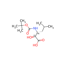 CC(C)C[C@@H](NC(=O)OC(C)(C)C)[C@H](O)C(=O)O